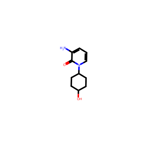 Nc1cccn(C2CCC(O)CC2)c1=O